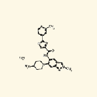 Cc1cc(-c2nc(C(=O)Nc3cc4cn(C)nc4cc3N3CCC(N)CC3)co2)ccn1.Cl